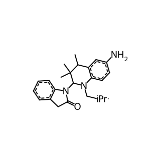 C[C](C)CN1c2ccc(N)cc2C(C)C(C)(C)C1N1C(=O)Cc2ccccc21